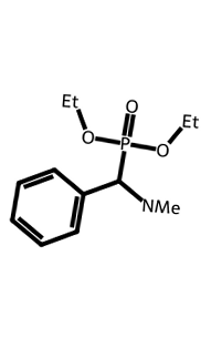 CCOP(=O)(OCC)C(NC)c1ccccc1